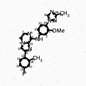 COc1cc(Nc2nccn3cc(-c4ccc(F)cc4C)nc23)ccc1-n1cnc(C)n1